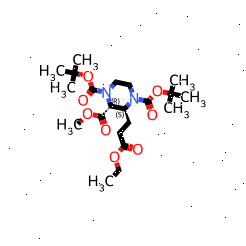 CCOC(=O)CC[C@H]1[C@H](C(=O)OC)N(C(=O)OC(C)(C)C)CCN1C(=O)OC(C)(C)C